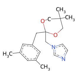 Cc1cc(C)cc(CC2(Cn3ccnc3)OCC(C)(C)CO2)c1